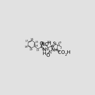 CC1(C)S[C@H]2N(C(=O)C2(C#N)NC(=O)Cc2ccccc2)[C@H]1C(=O)O